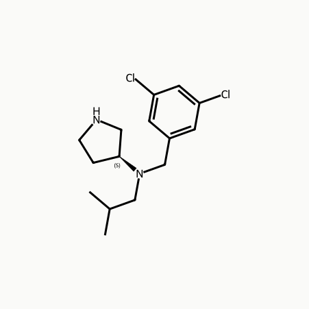 CC(C)CN(Cc1cc(Cl)cc(Cl)c1)[C@H]1CCNC1